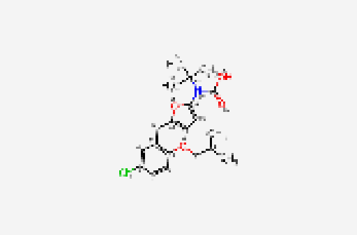 CC(C)COc1ccc(Cl)cc1Cc1ccc(N(C(=O)O)C(C)(C)C)o1